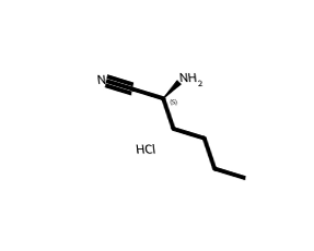 CCCC[C@H](N)C#N.Cl